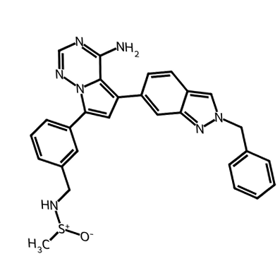 C[S+]([O-])NCc1cccc(-c2cc(-c3ccc4cn(Cc5ccccc5)nc4c3)c3c(N)ncnn23)c1